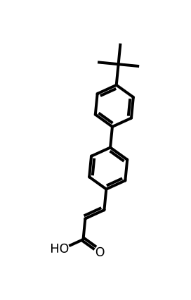 CC(C)(C)c1ccc(-c2ccc(C=CC(=O)O)cc2)cc1